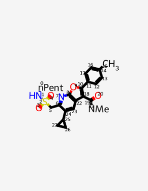 [CH2]CCCCNS(=O)(=O)Cc1nc2oc(-c3ccc(C)cc3)c(C(=O)NC)c2cc1C1CC1